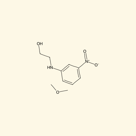 COC.O=[N+]([O-])c1cccc(NCCO)c1